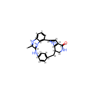 Cc1nc2cccc3c2nc1Nc1ccc(cc1)CC1CNC(=O)c2cc-3[nH]c21